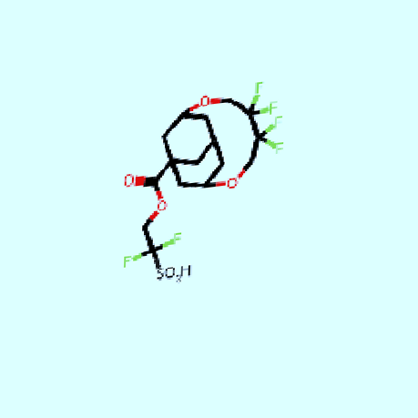 O=C(OCC(F)(F)S(=O)(=O)O)C12CC3CC(C1)OCC(F)(F)C(F)(F)COC(C3)C2